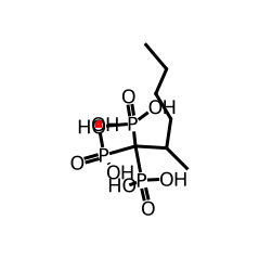 CCCCC(C)C(P(=O)(O)O)(P(=O)(O)O)P(=O)(O)O